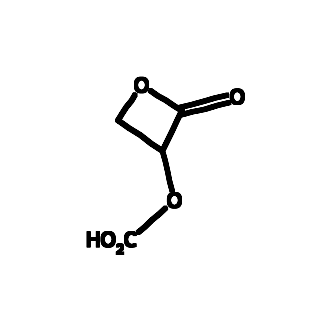 O=C(O)OC1COC1=O